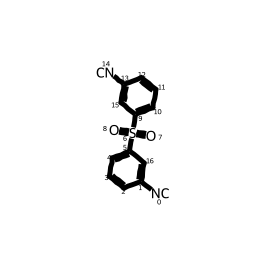 [C-]#[N+]c1cccc(S(=O)(=O)c2cccc([N+]#[C-])c2)c1